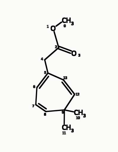 COC(=O)CC1=CC=CC(C)(C)C=C1